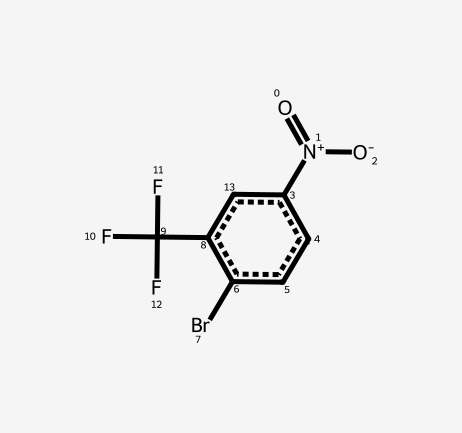 O=[N+]([O-])c1[c]cc(Br)c(C(F)(F)F)c1